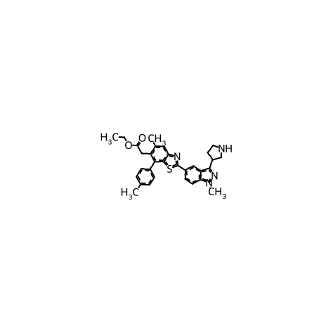 CCOC(=O)Cc1c(C)cc2nc(-c3ccc4c(c3)c(C3CCNC3)nn4C)sc2c1-c1ccc(C)cc1